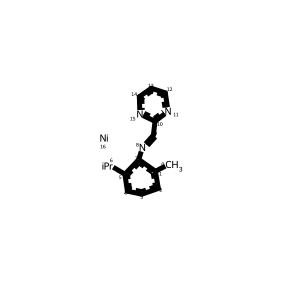 Cc1cccc(C(C)C)c1N=Cc1ncccn1.[Ni]